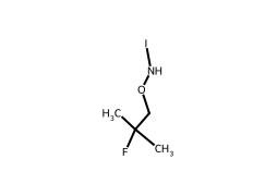 CC(C)(F)CONI